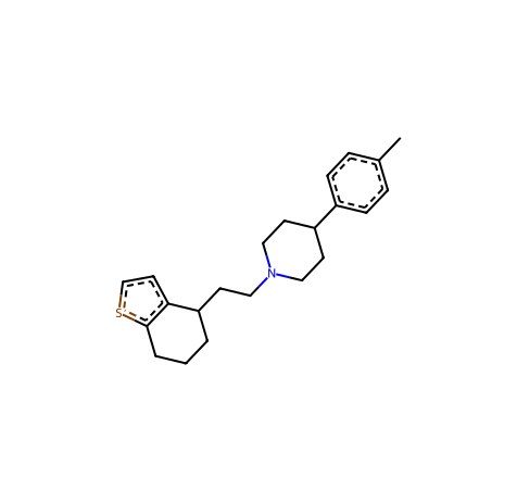 Cc1ccc(C2CCN(CCC3CCCc4sccc43)CC2)cc1